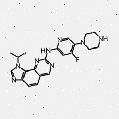 CC(C)n1cnc2ccc3cnc(Nc4cc(F)c(N5CCNCC5)cn4)nc3c21